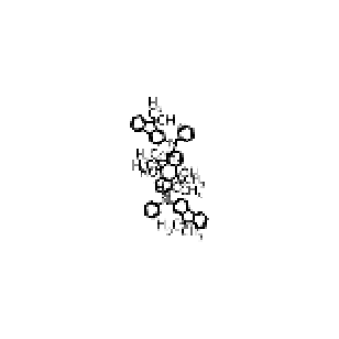 CC1(C)c2ccccc2-c2ccc(N(C3=CC4C(C=C3)C(O)(C(C)(C)C)c3cc(N(c5ccccc5)c5ccc6c(c5)C(C)(C)c5ccccc5-6)ccc3C4(O)C(C)(C)C)c3ccccc3)cc21